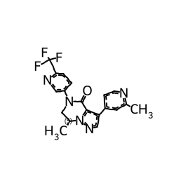 Cc1cc(-c2cnn3c2C(=O)N(c2ccc(C(F)(F)F)nc2)C[C@@H]3C)ccn1